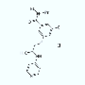 CCN(C(=O)c1cc(C)cc(OC[C@H](C)Nc2ccncc2)c1)C(C)C.Cl